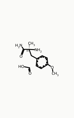 COc1ccc(C[C@](C)(N)C(N)=O)cc1.O=CO